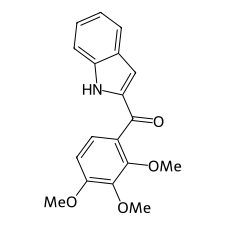 COc1ccc(C(=O)c2cc3ccccc3[nH]2)c(OC)c1OC